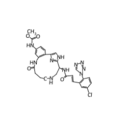 COC(=O)Nc1ccc2c(c1)NC(=O)CCCNC[C@H](NC(=O)/C=C/c1cc(Cl)ccc1-n1cnnn1)c1nc-2c[nH]1